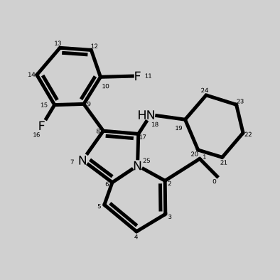 CCc1cccc2nc(-c3c(F)cccc3F)c(NC3CCCCC3)n12